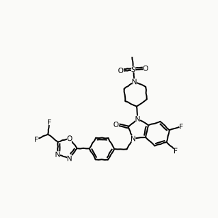 CS(=O)(=O)N1CCC(n2c(=O)n(Cc3ccc(-c4nnc(C(F)F)o4)cc3)c3cc(F)c(F)cc32)CC1